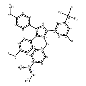 COc1ccc(-c2c(-c3ccc(CO)cc3)nc(-c3cc(C)cc(C(F)(F)F)c3)n2Cc2ccc(/C(N)=N/O)cc2)cc1